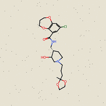 CC1(CCCN2CC[C@@H](CNC(=O)c3cc(Cl)cc4c3OCCCO4)C(O)C2)OCCO1